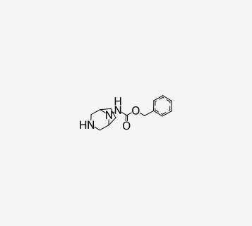 O=C(NN1C2CCC1CNC2)OCc1ccccc1